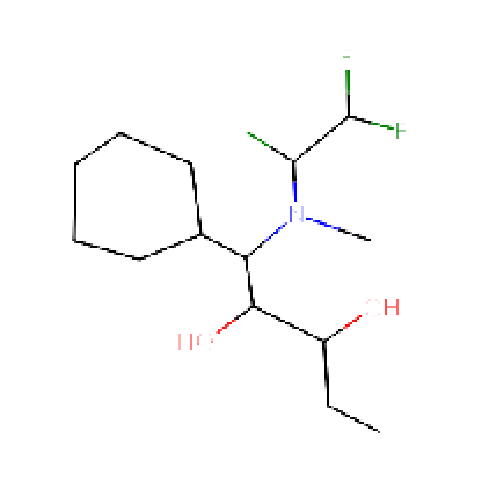 CCC(O)C(O)C(C1CCCCC1)N(C)C(F)C(F)F